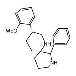 COc1ccccc1[C@H]1CC[C@]2(CCCNC2c2ccccc2)NC1